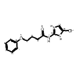 O=C(CCCOc1ccccc1)Nc1ncc(Cl)s1